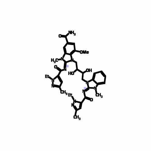 CCn1nc(C)cc1C(=O)/N=c1\n(C)c2ccccc2n1CC(O)C(O)Cn1/c(=N/C(=O)c2cc(C)nn2CC)n(C)c2cc(C(N)=O)cc(OC)c21